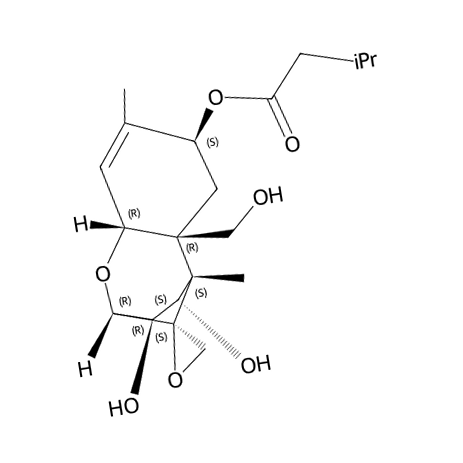 CC1=C[C@H]2O[C@@H]3[C@H](O)[C@@H](O)[C@](C)([C@@]2(CO)C[C@@H]1OC(=O)CC(C)C)[C@]31CO1